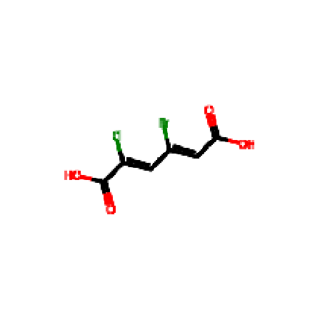 O=C(O)C=C(Br)C=C(Cl)C(=O)O